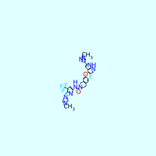 CN1CCN(Cc2ncc(NC(=O)N3CCc4ccc(Oc5c(F)cnc6[nH]c(-c7cnn(C)c7)cc56)cc4C3)cc2C(F)(F)F)CC1